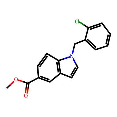 COC(=O)c1ccc2c(ccn2Cc2ccccc2Cl)c1